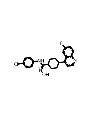 O/N=C(/Nc1ccc(Cl)cc1)C1CCC(c2ccnc3ccc(F)cc23)CC1